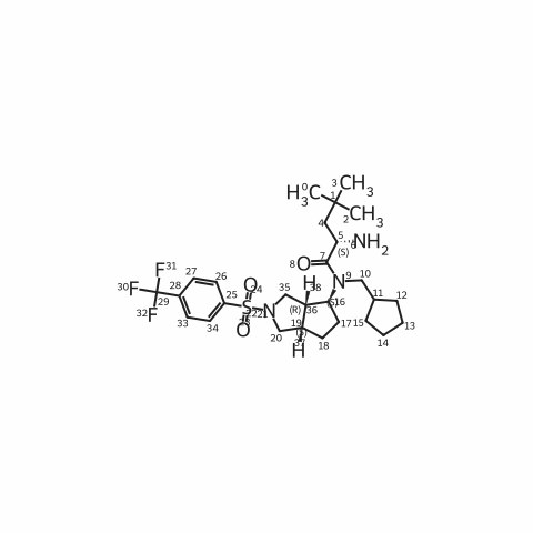 CC(C)(C)C[C@H](N)C(=O)N(CC1CCCC1)[C@H]1CC[C@@H]2CN(S(=O)(=O)c3ccc(C(F)(F)F)cc3)C[C@@H]21